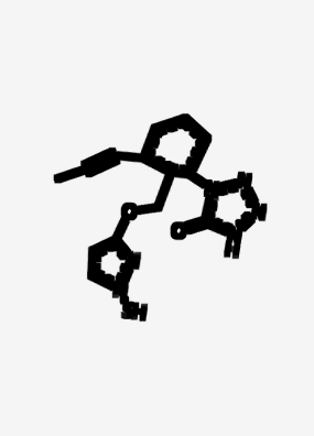 CC#Cc1cccc(-n2nn[nH]c2=O)c1COc1ccn(S)n1